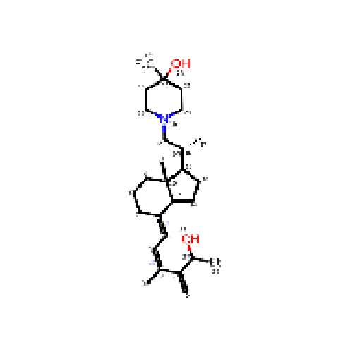 C=C(/C(C)=C\C=C1/CCCC2(C)C1CCC2[C@@H](C)CN1CCC(O)(C(F)(F)F)CC1)C(O)CC